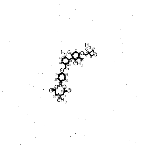 Cc1cc(OCC2(C)COC2)c(F)c(C)c1-c1cccc(COc2ccc(B3OC(=O)CN(C)CC(=O)O3)cc2)c1